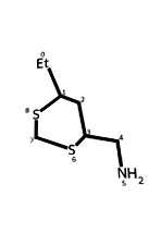 CCC1CC(CN)SCS1